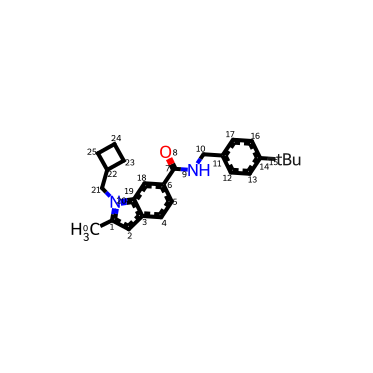 Cc1cc2ccc(C(=O)NCc3ccc(C(C)(C)C)cc3)cc2n1CC1CCC1